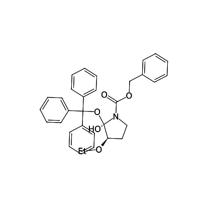 CCO[C@@H]1CCN(C(=O)OCc2ccccc2)[C@]1(O)OC(c1ccccc1)(c1ccccc1)c1ccccc1